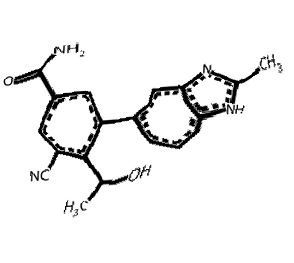 Cc1nc2cc(-c3cc(C(N)=O)cc(C#N)c3C(C)O)ccc2[nH]1